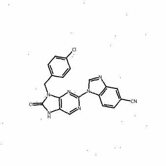 N#Cc1ccc2c(c1)ncn2-c1ncc2[nH]c(=O)n(Cc3ccc(Cl)cc3)c2n1